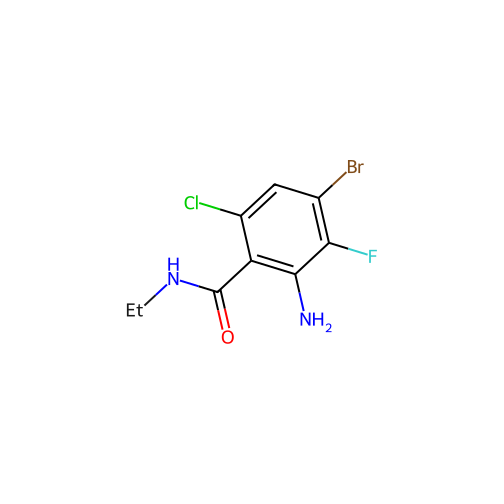 CCNC(=O)c1c(Cl)cc(Br)c(F)c1N